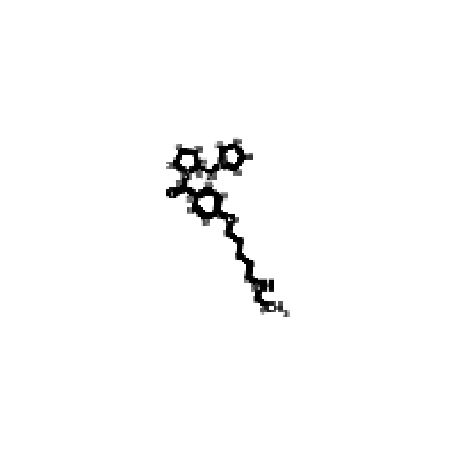 CCNCCCCCOc1ccc(C(=O)N2CCC[C@H]2CN2CCCC2)cc1